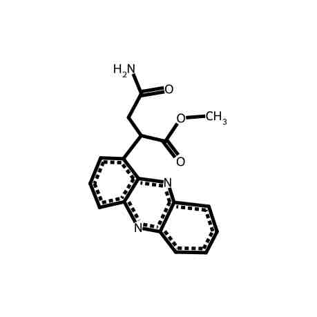 COC(=O)C(CC(N)=O)c1cccc2nc3ccccc3nc12